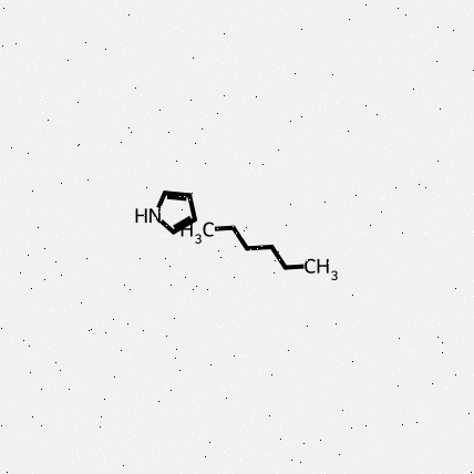 CCCCCC.c1cc[nH]c1